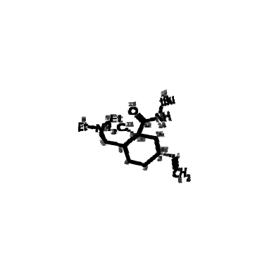 C=C[C@@H]1CCC(CN(CC)CC)[C@@](C)(C(=O)NC(C)(C)C)C1